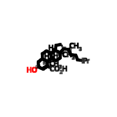 CC(C)CCC[C@@H](C)[C@H]1CC[C@H]2[C@@H]3CCC4C[C@@H](O)C=C(C(=O)O)[C@]4(C)[C@H]3CC[C@]12C